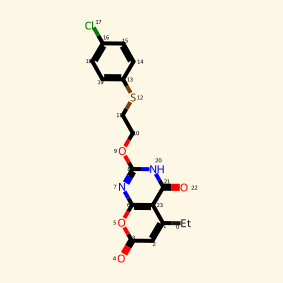 CCc1cc(=O)oc2nc(OCCSc3ccc(Cl)cc3)[nH]c(=O)c12